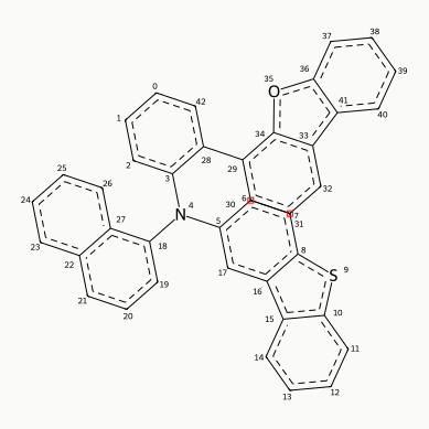 c1ccc(N(c2ccc3sc4ccccc4c3c2)c2cccc3ccccc23)c(-c2cccc3c2oc2ccccc23)c1